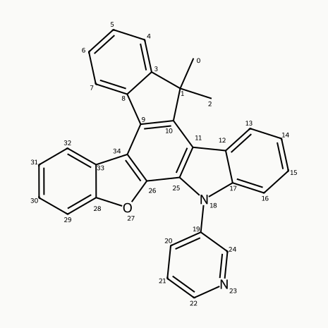 CC1(C)c2ccccc2-c2c1c1c3ccccc3n(-c3cccnc3)c1c1oc3ccccc3c21